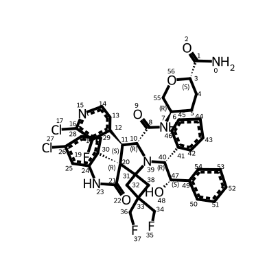 NC(=O)[C@@H]1CC[C@@H](NC(=O)[C@H]2[C@H](c3ccnc(Cl)c3F)[C@]3(C(=O)Nc4cc(Cl)ccc43)C3(CC(CF)(CF)C3)N2[C@H](c2ccccc2)[C@@H](O)c2ccccc2)CO1